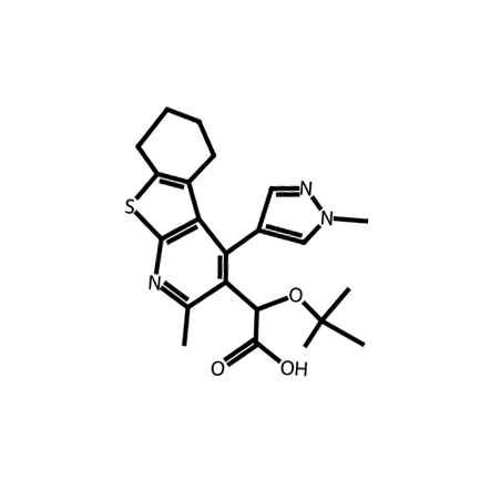 Cc1nc2sc3c(c2c(-c2cnn(C)c2)c1C(OC(C)(C)C)C(=O)O)CCCC3